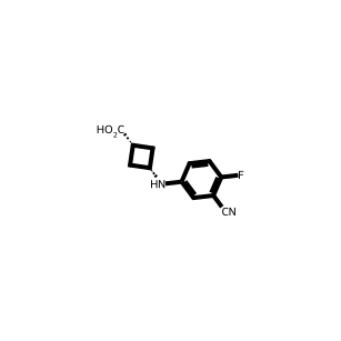 N#Cc1cc(N[C@H]2C[C@@H](C(=O)O)C2)ccc1F